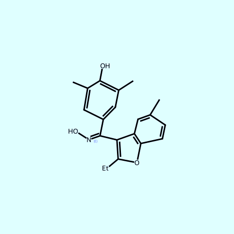 CCc1oc2ccc(C)cc2c1/C(=N/O)c1cc(C)c(O)c(C)c1